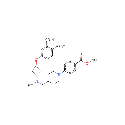 CC(C)N(CC1CCN(c2ccc(C(=O)OC(C)(C)C)cc2)CC1)[C@H]1C[C@H](Oc2ccc(C(=O)O)c(C(=O)O)c2)C1